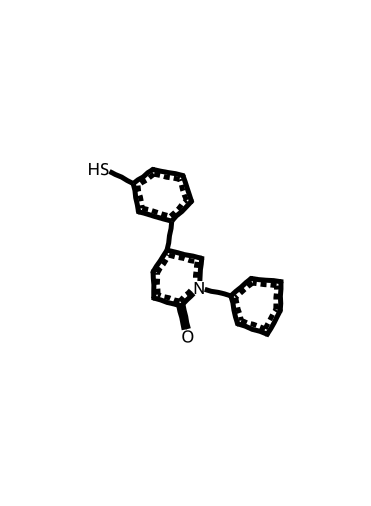 O=c1ccc(-c2cccc(S)c2)cn1-c1ccccc1